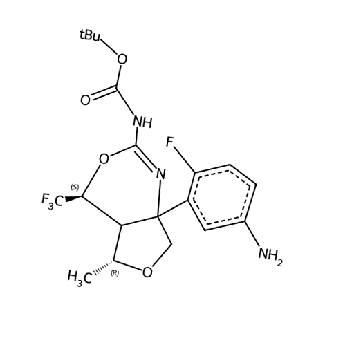 C[C@H]1OCC2(c3cc(N)ccc3F)N=C(NC(=O)OC(C)(C)C)O[C@H](C(F)(F)F)C12